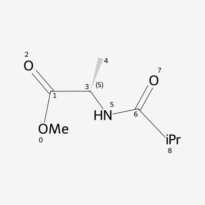 [CH2]OC(=O)[C@H](C)NC(=O)C(C)C